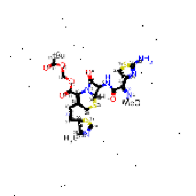 CO/N=C(\C(=O)NC1C(=O)N2C(C(=O)OCOC(=O)C(C)(C)C)=C(/C=C\c3scnc3C)CS[C@@H]12)c1csc(N)n1